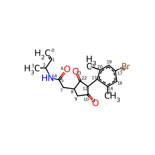 C=CC(C)NC(=O)CC1CC(=O)C(c2c(C)cc(Br)cc2C)C1=O